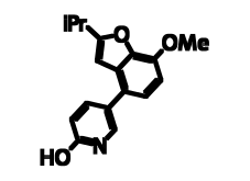 COc1ccc(-c2ccc(O)nc2)c2cc(C(C)C)oc12